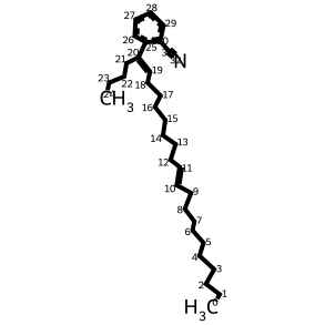 CCCCCCCCCCC=CCCCCCCCC=C(CCCC)c1ccccc1C#N